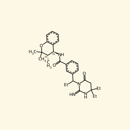 CCC(c1cccc(C(=O)N[C@@H]2c3ccccc3OC(C)(C)[C@H]2C)c1)N1C(=N)NC(CC)(CC)CC1=O